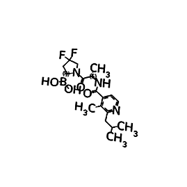 Cc1c(C(=O)N[C@@H](C)C(=O)N2CC(F)(F)C[C@H]2B(O)O)ccnc1CC(C)C